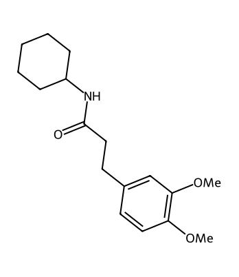 COc1ccc(CCC(=O)NC2CCCCC2)cc1OC